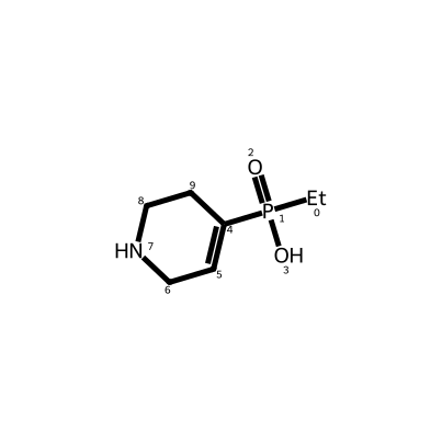 CCP(=O)(O)C1=CCNCC1